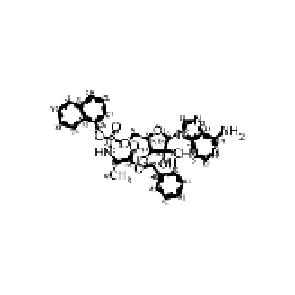 C[C@H](NP(=O)(OC[C@H]1O[C@@H](n2cnc3c(N)ncnc32)C(C)(O)C1O)Oc1cccc2ccccc12)C(=O)OCc1ccccc1